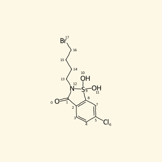 O=C1c2ccc(Cl)cc2S(O)(O)N1CCCCBr